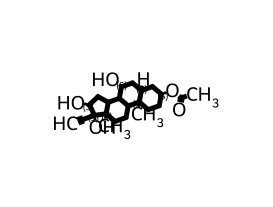 C#C[C@]1(O)[C@@H](O)CC2C3C(CC[C@@]21C)[C@@]1(C)CC[C@H](OC(C)=O)C[C@H]1C[C@@H]3O